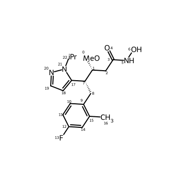 CO[C@H](CC(=O)NO)[C@H](Cc1ccc(F)cc1C)c1ccnn1C(C)C